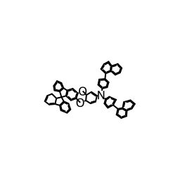 C1=CCC2C(=C1)c1ccccc1C21c2ccccc2-c2cc3c(cc21)OC1C=CC(N(c2ccc(-c4cccc5ccccc45)cc2)c2ccc(-c4cccc5ccccc45)cc2)=CC1O3